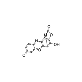 O=c1ccc2nc3c4c5c(O)c(c3oc-2c1)OP(=O)(O5)O4